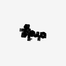 O=C(C[N+]12CCC(CC1)[C@@H](OC(=O)C(O)(c1ccoc1)c1ccoc1)C2)Nc1cnccn1.[Br-]